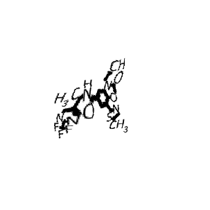 C#CCN1C(=O)COc2c(-c3ncc(C)s3)cc(C(=O)N[C@H](C)c3cnc(C(F)(F)F)nc3)cc21